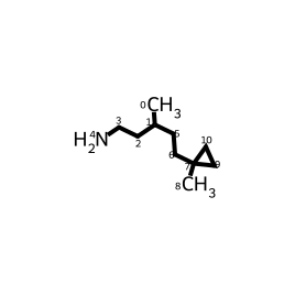 CC(CCN)CCC1(C)CC1